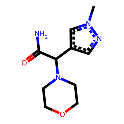 Cn1cc(C(C(N)=O)N2CCOCC2)cn1